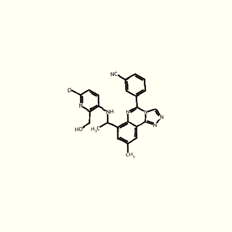 Cc1cc(C(C)Nc2ccc(Cl)nc2CO)c2nc(-c3cccc(C#N)c3)n3cnnc3c2c1